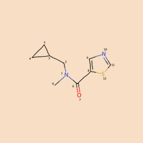 CN(CC1CC1)C(=O)c1cncs1